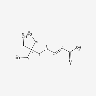 O=C(O)C=COCC(CO)(CO)CO